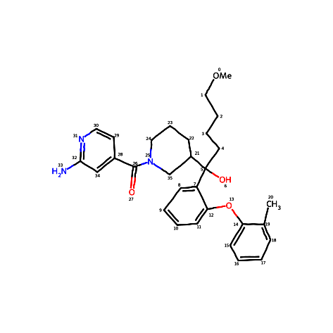 COCCCCC(O)(c1ccccc1Oc1ccccc1C)C1CCCN(C(=O)c2ccnc(N)c2)C1